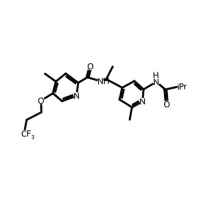 Cc1cc(C(C)NC(=O)c2cc(C)c(OCCC(F)(F)F)cn2)cc(NC(=O)C(C)C)n1